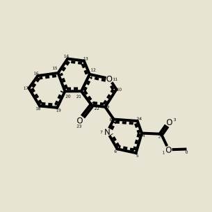 COC(=O)c1ccnc(-c2coc3ccc4ccccc4c3c2=O)c1